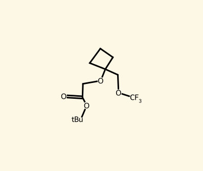 CC(C)(C)OC(=O)COC1(COC(F)(F)F)CCC1